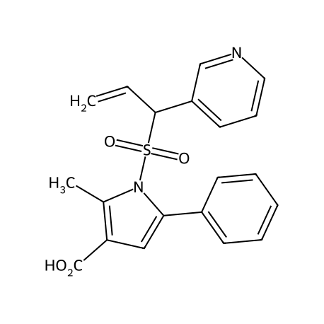 C=CC(c1cccnc1)S(=O)(=O)n1c(-c2ccccc2)cc(C(=O)O)c1C